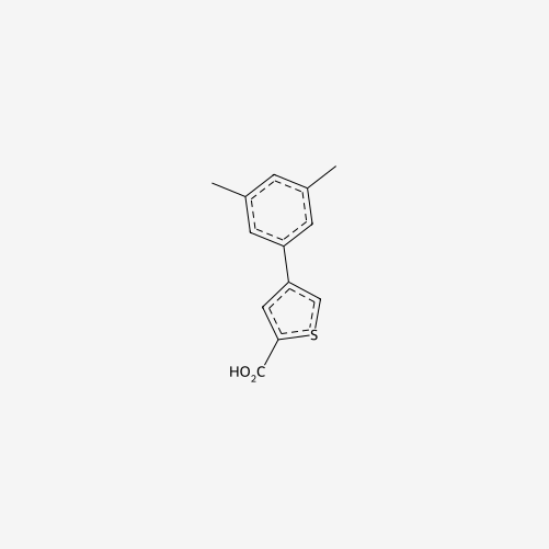 Cc1cc(C)cc(-c2csc(C(=O)O)c2)c1